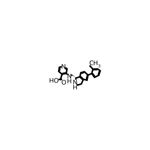 CCc1ccccc1-c1ccc2c(c1)CCN[C@@H]2CNc1cnccc1C(=O)O